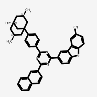 C[C@@H]1C[C@@H]2C[C@H](C)CC(c3ccc(-c4nc(-c5ccc6ccccc6c5)nc(-c5ccc6sc7ccc(C#N)cc7c6c5)n4)cc3)(C1)C2